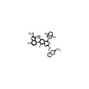 C=C1CN2CCC[C@@]2(COc2nc(N3C[C@H]4CC[C@@H](C3)N4)c3cc(Cl)c(-c4ccc(F)c5sc(N)c(C#N)c45)c(F)c3n2)C1